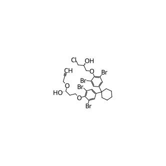 C#CCO[C@@H](O)CCOc1c(Br)cc(C2(c3cc(Br)c(OC[C@H](O)CCl)c(Br)c3)CCCCC2)cc1Br